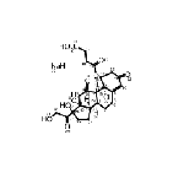 C[C@]12CC(=O)[C@H]3[C@@H](CCC4=CC(=O)CC(OC(=O)CCC(=O)O)[C@@]43C)[C@@H]1CC[C@]2(O)C(=O)CO.[NaH]